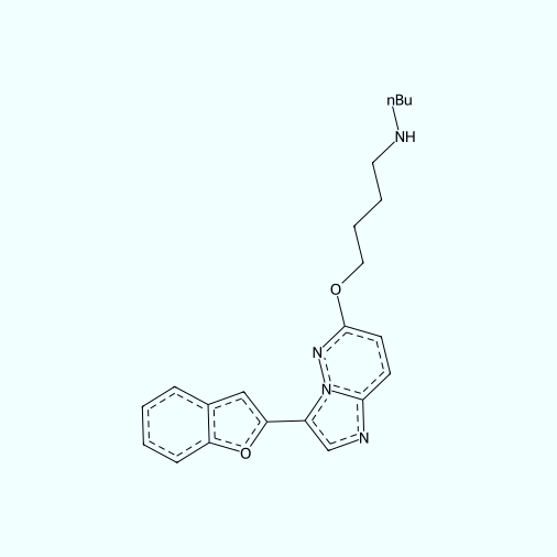 CCCCNCCCCOc1ccc2ncc(-c3cc4ccccc4o3)n2n1